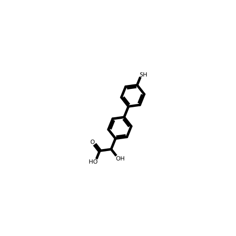 O=C(O)C(O)c1ccc(-c2ccc(S)cc2)cc1